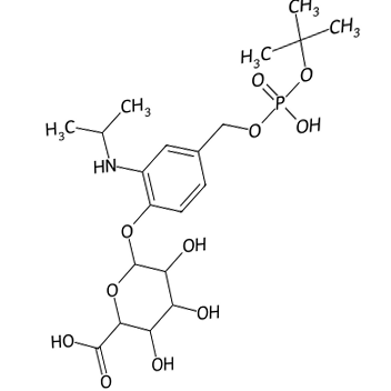 CC(C)Nc1cc(COP(=O)(O)OC(C)(C)C)ccc1OC1OC(C(=O)O)C(O)C(O)C1O